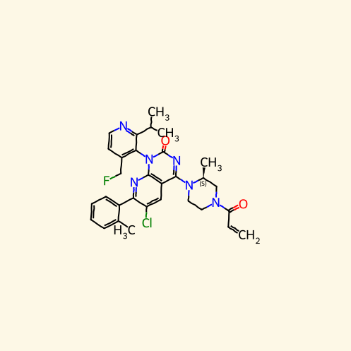 C=CC(=O)N1CCN(c2nc(=O)n(-c3c(CF)ccnc3C(C)C)c3nc(-c4ccccc4C)c(Cl)cc23)[C@@H](C)C1